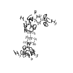 CN(c1ccc(S(C)(=O)=O)cc1F)c1ncnc2c(C3CCN(C(=O)OC(C)(C)C)CC3)coc12